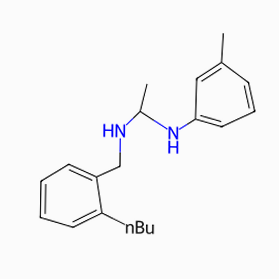 CCCCc1ccccc1CNC(C)Nc1cccc(C)c1